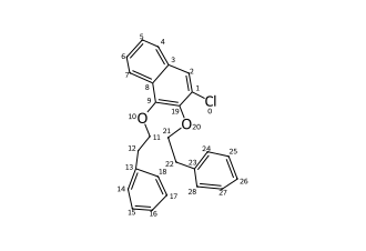 Clc1cc2ccccc2c(OCCc2ccccc2)c1OCCc1ccccc1